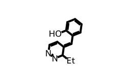 CCC1N=NC=CC1=Cc1ccccc1O